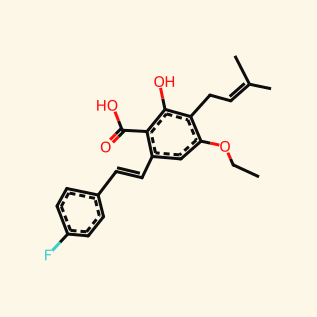 CCOc1cc(C=Cc2ccc(F)cc2)c(C(=O)O)c(O)c1CC=C(C)C